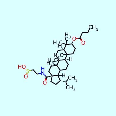 CCCC(=O)O[C@@H]1CC[C@]2(C)[C@H]3CCC4[C@@H]5[C@H](C(C)C)CC[C@]5(C(=O)NCCS(=O)O)CC[C@@]4(C)[C@]3(C)CC[C@H]2C1(C)C